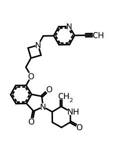 C#Cc1ccc(CN2CC(COc3cccc4c3C(=O)N(C3CCC(=O)NC3=C)C4=O)C2)cn1